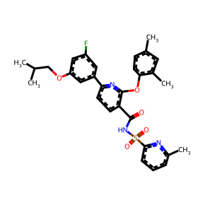 Cc1ccc(Oc2nc(-c3cc(F)cc(OCC(C)C)c3)ccc2C(=O)NS(=O)(=O)c2cccc(C)n2)c(C)c1